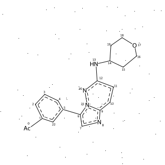 CC(=O)c1cccc(-c2cnc3ccc(NC4CCOCC4)nn23)c1